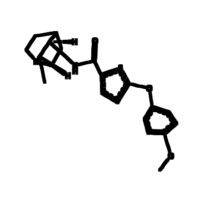 COc1ccc(Oc2ccc(C(=O)N[C@@H]3C4CCN(CC4)[C@H]3C)s2)cc1